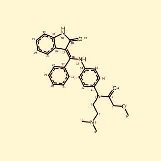 COCC(=O)N(CCN(C)C)c1ccc(N/C(=C2\C(=O)Nc3ccccc32)c2ccccc2)cc1